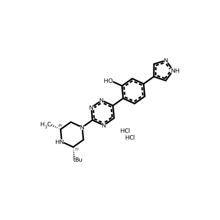 C[C@@H]1CN(c2ncc(-c3ccc(-c4cn[nH]c4)cc3O)nn2)C[C@H](C(C)(C)C)N1.Cl.Cl